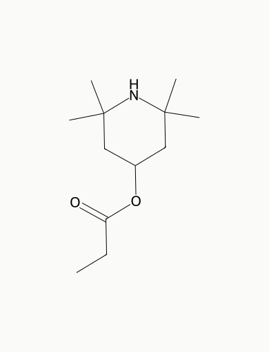 CCC(=O)OC1CC(C)(C)NC(C)(C)C1